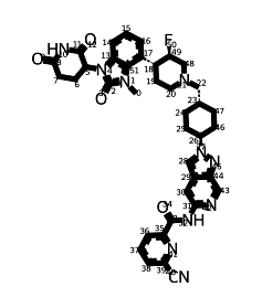 Cn1c(=O)n(C2CCC(=O)NC2=O)c2cccc([C@H]3CCN(C[C@H]4CC[C@H](n5cc6cc(NC(=O)c7cccc(C#N)n7)ncc6n5)CC4)C[C@@H]3F)c21